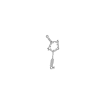 C#Cc1csc(=O)s1